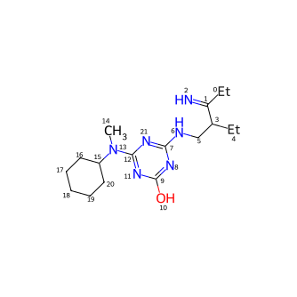 CCC(=N)C(CC)CNc1nc(O)nc(N(C)C2CCCCC2)n1